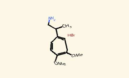 Br.COc1ccc(C(C)CN)cc1OC